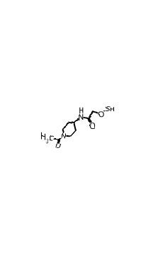 CC(=O)N1CCC(NC(=O)COS)CC1